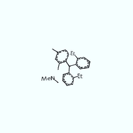 CCc1ccccc1C(c1ccc(C)cc1C)c1ccccc1CC.CNC